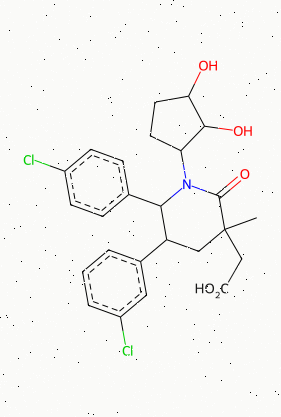 CC1(CC(=O)O)CC(c2cccc(Cl)c2)C(c2ccc(Cl)cc2)N(C2CCC(O)C2O)C1=O